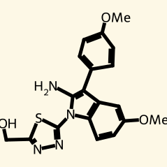 COc1ccc(-c2c(N)n(-c3nnc(CO)s3)c3ccc(OC)cc23)cc1